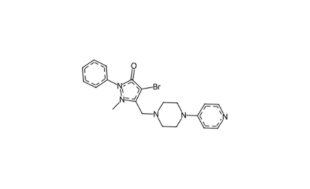 Cn1c(CN2CCN(c3ccncc3)CC2)c(Br)c(=O)n1-c1ccccc1